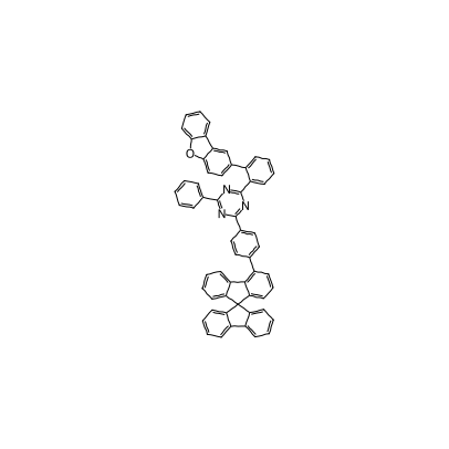 c1ccc(-c2nc(-c3ccc(-c4cccc5c4-c4ccccc4C54c5ccccc5-c5ccccc54)cc3)nc(-c3ccccc3-c3ccc4oc5ccccc5c4c3)n2)cc1